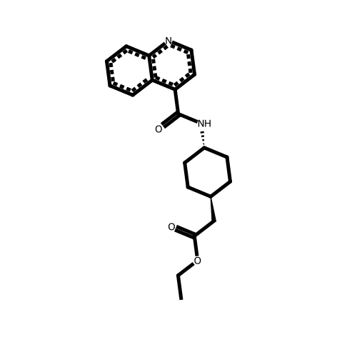 CCOC(=O)C[C@H]1CC[C@H](NC(=O)c2ccnc3ccccc23)CC1